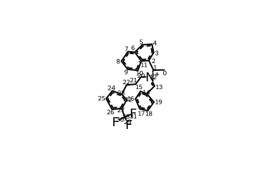 CC(c1cccc2ccccc12)/[N+](=C/c1ccccc1)CCCc1cccc(C(F)(F)F)c1